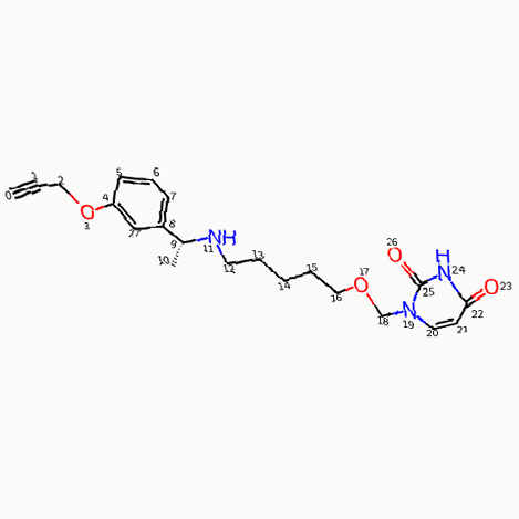 C#CCOc1cccc([C@@H](C)NCCCCCOCn2ccc(=O)[nH]c2=O)c1